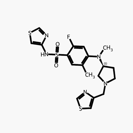 Cc1cc(S(=O)(=O)Nc2cscn2)c(F)cc1N(C)[C@H]1CCN(Cc2cscn2)C1